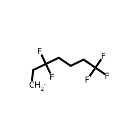 [CH2]CC(F)(F)CCCC(F)(F)F